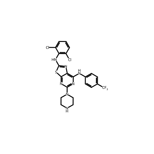 FC(F)(F)c1ccc(Nc2nc(N3CCNCC3)nc3sc(Nc4c(Cl)cccc4Cl)nc23)cc1